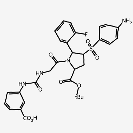 CC(C)(C)OC(=O)C1CC(S(=O)(=O)c2ccc(N)cc2)C(c2ccccc2F)N1C(=O)CNC(=O)Nc1cccc(C(=O)O)c1